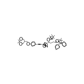 CC1(C)OCC(COc2ccc(C#Cc3cc(C(CCCO[Si](c4ccccc4)(c4ccccc4)C(C)(C)C)O[Si](C)(C)C(C)(C)C)no3)cc2)CO1